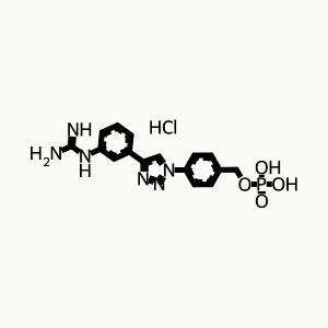 Cl.N=C(N)Nc1cccc(-c2cn(-c3ccc(COP(=O)(O)O)cc3)nn2)c1